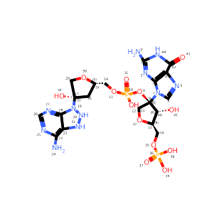 Nc1nc2c(ncn2[C@@]2(OP(=O)(O)OC[C@@H]3C[C@@](O)(N4NNc5c(N)ncnc54)CO3)CO[C@H](COP(=O)(O)O)[C@H]2O)c(=O)[nH]1